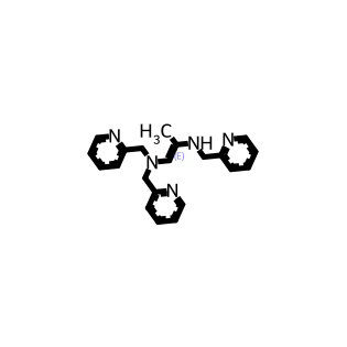 C/C(=C\N(Cc1ccccn1)Cc1ccccn1)NCc1ccccn1